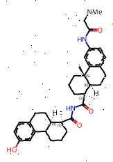 CNCC(=O)Nc1ccc2c(c1)[C@@]1(C)CCC[C@](C)(C(=O)NC(=O)[C@@]3(C)CCCC4c5cc(O)ccc5CC[C@H]43)[C@@H]1CC2